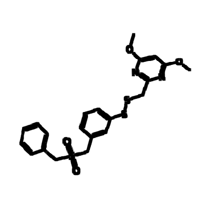 COc1cc(OC)nc(CSSc2cccc(CS(=O)(=O)Cc3ccccc3)c2)n1